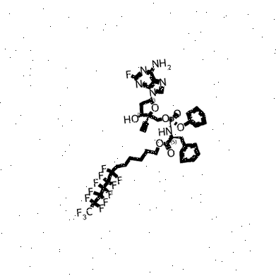 C#C[C@]1(CO[P@@](=O)(N[C@@H](Cc2ccccc2)C(=O)OCCCCCCC(F)(F)C(F)(F)C(F)(F)C(F)(F)C(F)(F)C(F)(F)F)Oc2ccccc2)O[C@@H](n2cnc3c(N)nc(F)nc32)C[C@@H]1O